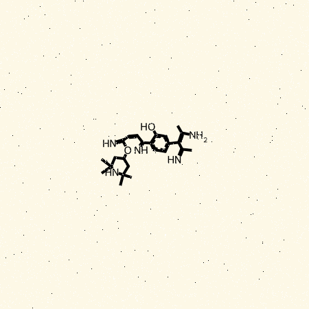 CC(=N)/C(=C(/C)N)c1ccc(C(=N)/C=C\C(=N)OC2CC(C)(C)NC(C)(C)C2)c(O)c1